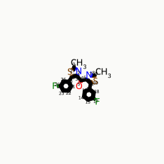 Cc1nc(C(=O)c2nc(C)sc2-c2cccc(F)c2)c(-c2cccc(F)c2)s1